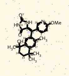 COc1ccc(/C(=C2\NC(=O)NC2=O)c2cc3c(cc2C)C(C)(C)CCC3(C)C)cn1